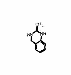 C=C1NCc2ccccc2N1